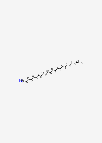 CCCCCCCCCCCCCCCCC=CCCCCC#N